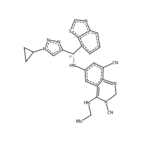 CC(C)(C)CNC1=c2cc(N[C@H](c3cn(C4CC4)nn3)c3cccc4ncsc34)cc(C#N)c2=NCN1C#N